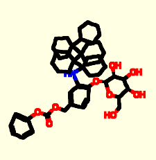 O=C(OCc1ccc(O[C@@H]2OC(CO)[C@H](O)C(O)[C@@H]2O)c(NC2(C3(C4(C5(C6CCCCC6)CCCCC5)CCCCC4)CCCCC3)CCCCC2)c1)Oc1ccccc1